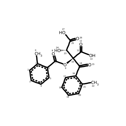 Cc1ccccc1C(=O)O[C@@](C(=O)O)(C(=O)c1ccccc1C)[C@H](O)C(=O)O